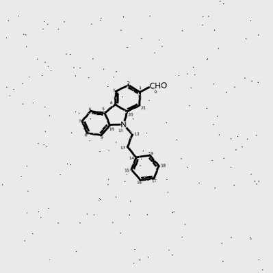 O=Cc1ccc2c3ccccc3n(CCc3ccccc3)c2c1